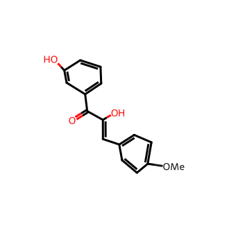 COc1ccc(C=C(O)C(=O)c2cccc(O)c2)cc1